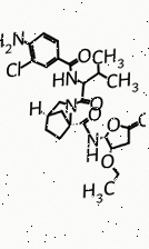 CCO[C@H]1CC(=O)O[C@H]1NC(=O)[C@@]12CC[C@@H](CN1C(=O)[C@@H](NC(=O)c1ccc(N)c(Cl)c1)C(C)C)C2